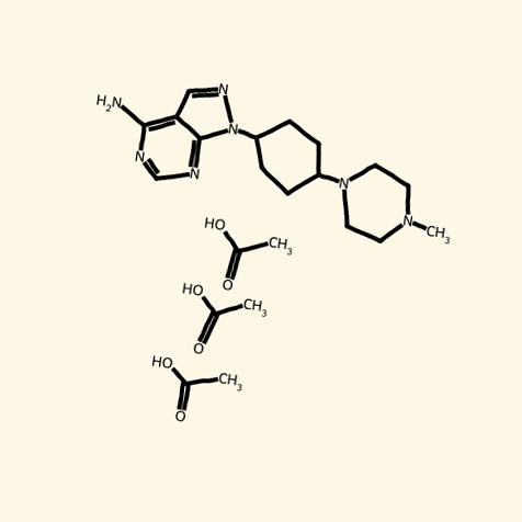 CC(=O)O.CC(=O)O.CC(=O)O.CN1CCN(C2CCC(n3ncc4c(N)ncnc43)CC2)CC1